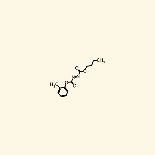 CCCCOC(=O)/N=N/C(=O)Oc1ccccc1C